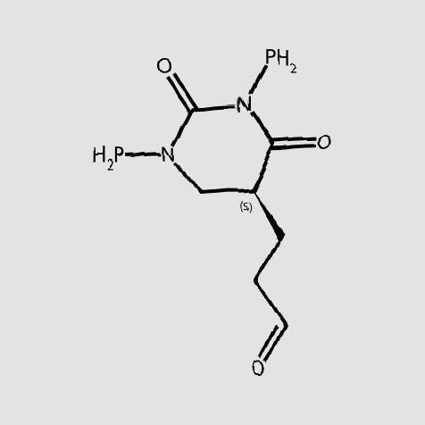 O=CCC[C@H]1CN(P)C(=O)N(P)C1=O